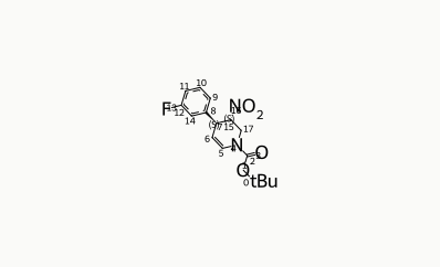 CC(C)(C)OC(=O)N1C=C[C@@H](c2cccc(F)c2)[C@H]([N+](=O)[O-])C1